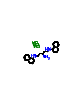 Cl.Cl.Cl.NC(CCNc1cccc2ccccc12)CCNc1cccc2ccccc12